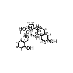 C[C@]12[C@@H](NCc3ccccc3O)C[C@@H]3c4ccc(O)cc4CC[C@H]3[C@@H]1CC[C@@H]2O